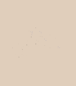 Cl.NC1CCN(c2ncnc3c(F)c(-c4ccccc4F)c(Cl)cc23)CC1